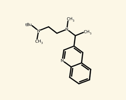 CC(c1cnc2ccccc2c1)N(C)CCN(C)C(C)(C)C